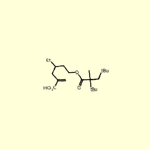 C=C(CC(CC)CCOC(=O)C(C)(CC(C)(C)C)C(C)(C)C)C(=O)O